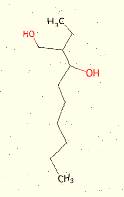 CCCCCCC(O)C(CC)CO